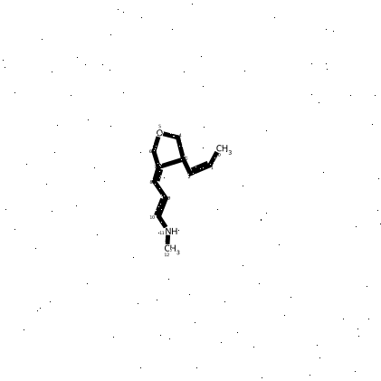 C/C=C\C1COC/C1=C/C=C/NC